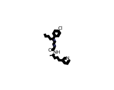 CCCC/C(=C\C=C\C(=O)N[C@H](C)CCCc1cccnc1)c1ccc(Cl)cc1